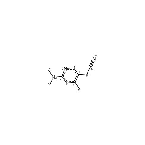 Cc1cc(N(C)C)ncc1CC#N